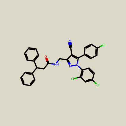 N#Cc1c(CNC(=O)CC(c2ccccc2)c2ccccc2)nn(-c2ccc(Cl)cc2Cl)c1-c1ccc(Cl)cc1